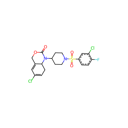 O=C1OCC2=CC(Cl)=CCC2N1C1CCN(S(=O)(=O)c2ccc(F)c(Cl)c2)CC1